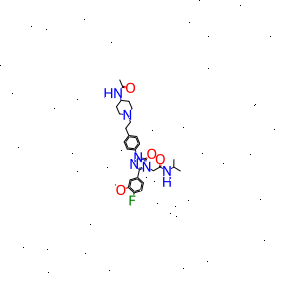 COc1cc(-c2nn(-c3ccc(CCN4CCC(NC(C)=O)CC4)cc3)c(=O)n2CC(=O)NC(C)C)ccc1F